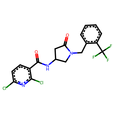 O=C(NC1CC(=O)N(Cc2ccccc2C(F)(F)F)C1)c1ccc(Cl)nc1Cl